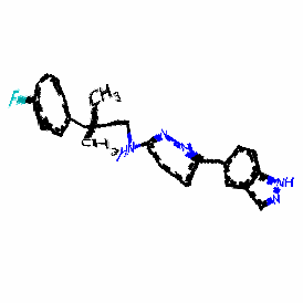 CC(C)(CNc1ccc(-c2ccc3[nH]n[c]c3c2)nn1)c1ccc(F)cc1